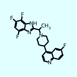 CC(c1nc2c(F)cc(F)c(F)c2[nH]1)N1CCC(c2ccnc3ccc(F)cc23)CC1